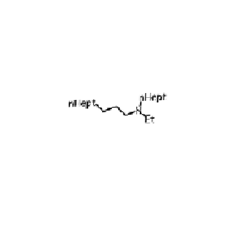 [CH2]CN(CCCCCCC)CCCCCCCCCC